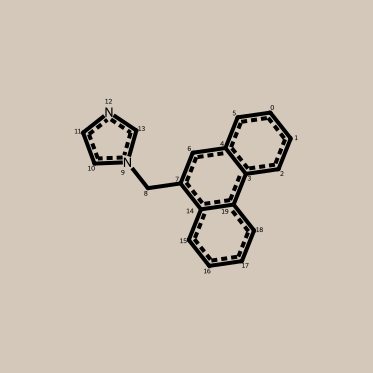 c1ccc2c(c1)cc(Cn1ccnc1)c1ccccc12